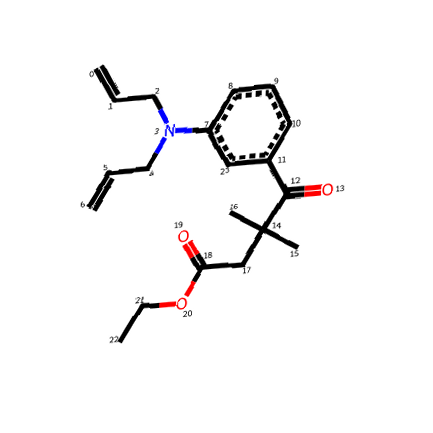 C=CCN(CC=C)c1cccc(C(=O)C(C)(C)CC(=O)OCC)c1